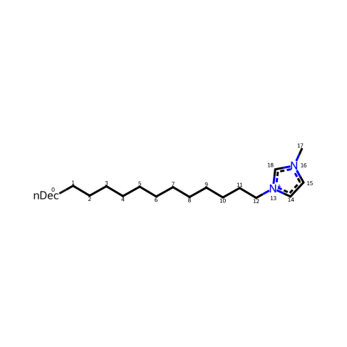 CCCCCCCCCCCCCCCCCCCCCC[n+]1ccn(C)c1